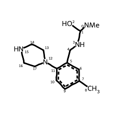 CNC(O)NCc1cc(C)ccc1N1CCNCC1